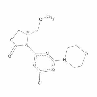 COC[C@H]1COC(=O)N1c1cc(Cl)nc(N2CCOCC2)n1